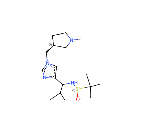 CC(C)C(N[S@+]([O-])C(C)(C)C)c1cn(C[C@H]2CCN(C)C2)cn1